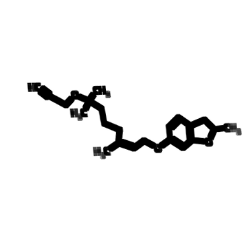 C#CCOC(C)(C)CCCC(C)=CCOc1ccc2c(c1)OC(C)C2